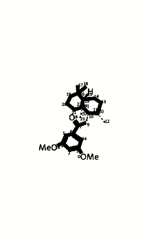 COc1cc(OC)cc(C(=O)C[C@H]2[C@@H](C)CC[C@H]3C(C)(C)CCC[C@]23C)c1